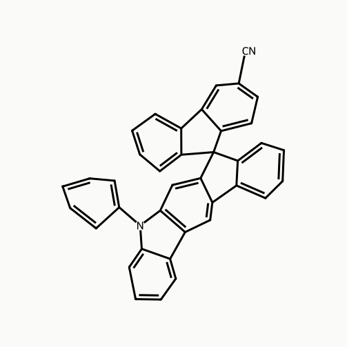 N#Cc1ccc2c(c1)-c1ccccc1C21c2ccccc2-c2cc3c4ccccc4n(-c4ccccc4)c3cc21